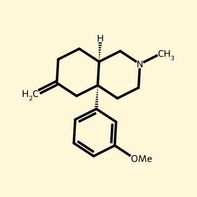 C=C1CC[C@H]2CN(C)CC[C@@]2(c2cccc(OC)c2)C1